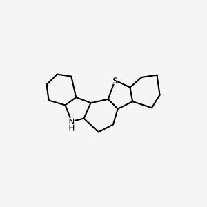 C1CCC2C(C1)NC1CCC3C4CCCCC4SC3C12